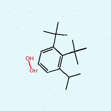 CC(C)c1cccc(C(C)(C)C)c1C(C)(C)C.OO